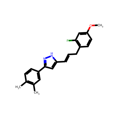 COc1ccc(CC=Cc2cc(-c3ccc(C)c(C)c3)n[nH]2)c(F)c1